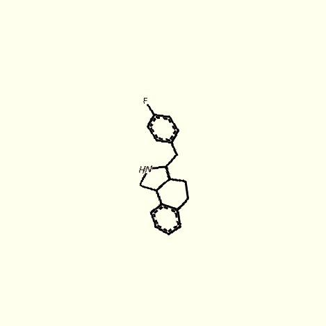 Fc1ccc(CC2NCC3c4ccccc4CCC23)cc1